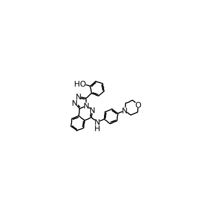 Oc1ccccc1-c1nnc2c3ccccc3c(Nc3ccc(N4CCOCC4)cc3)nn12